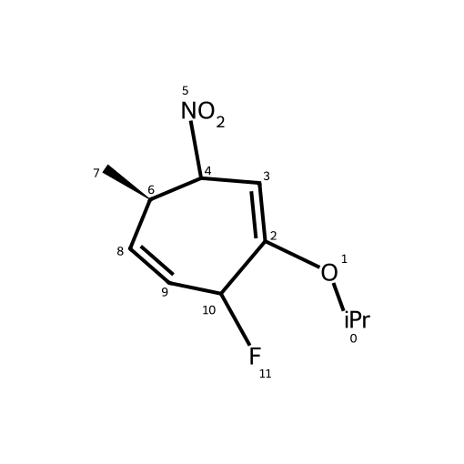 CC(C)OC1=CC([N+](=O)[O-])[C@H](C)C=CC1F